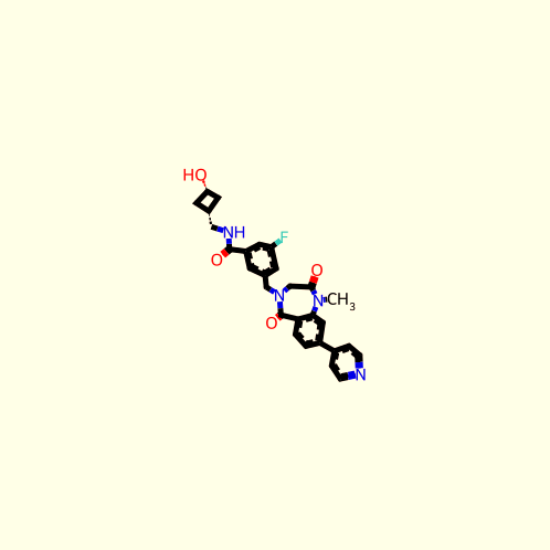 CN1C(=O)CN(Cc2cc(F)cc(C(=O)NC[C@H]3C[C@@H](O)C3)c2)C(=O)c2ccc(-c3ccncc3)cc21